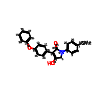 CSc1ccc(N2CC(O)=C(c3ccc(Oc4ccccc4)cc3)C2=O)cc1